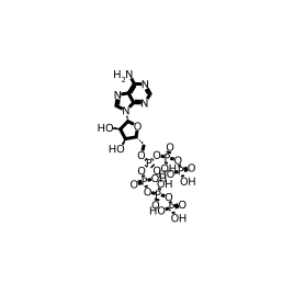 Nc1ncnc2c1ncn2[C@@H]1O[C@H](COP(=O)(OP(=O)(O)OP(=O)(O)O)OP(=O)(O)OP(=O)(O)OP(=O)(O)O)[C@@H](O)[C@H]1O